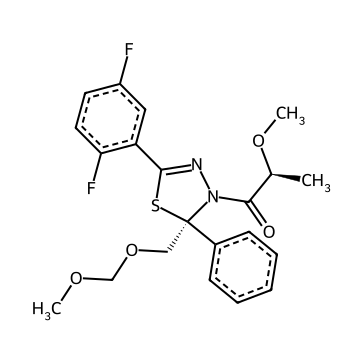 COCOC[C@]1(c2ccccc2)SC(c2cc(F)ccc2F)=NN1C(=O)[C@H](C)OC